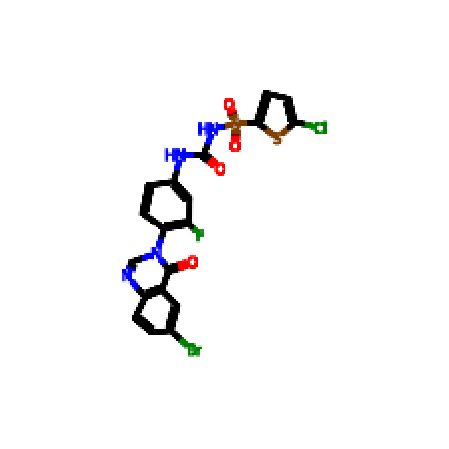 O=C(Nc1ccc(-n2cnc3ccc(Br)cc3c2=O)c(F)c1)NS(=O)(=O)c1ccc(Cl)s1